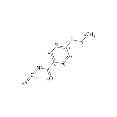 CCCc1ccc(C(=O)N=C=S)cc1